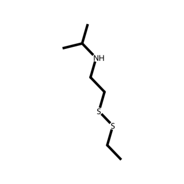 CCSSCCNC(C)C